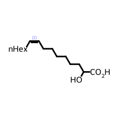 CCCCCC/C=C\CCCCCCC(O)C(=O)O